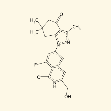 Cc1nn(-c2cc(F)c3c(=O)[nH]c(CO)cc3c2)c2c1C(=O)CC(C)(C)C2